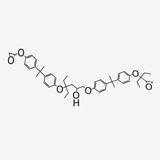 CCC(CC)(CC(O)COc1ccc(C(C)(C)c2ccc(OC(CC)(CC)C3CO3)cc2)cc1)Oc1ccc(C(C)(C)c2ccc(OC3CO3)cc2)cc1